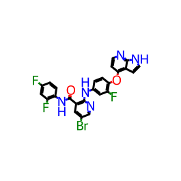 O=C(Nc1ccc(F)cc1F)c1cc(Br)cnc1Nc1ccc(Oc2ccnc3[nH]ccc23)c(F)c1